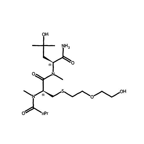 CCCC(=O)N(C)[C@H](CSCCOCCO)C(=O)N(C)[C@@H](CC(C)(C)O)C(N)=O